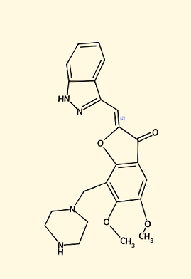 COc1cc2c(c(CN3CCNCC3)c1OC)O/C(=C\c1n[nH]c3ccccc13)C2=O